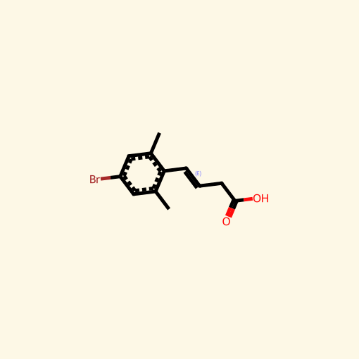 Cc1cc(Br)cc(C)c1/C=C/CC(=O)O